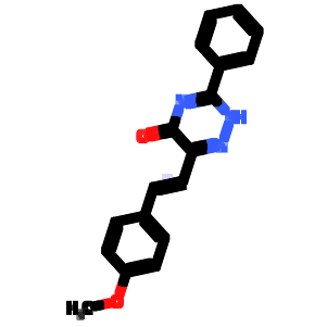 COc1ccc(/C=C/c2n[nH]c(-c3ccccc3)nc2=O)cc1